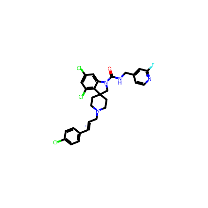 O=C(NCc1ccnc(F)c1)N1CC2(CCN(C/C=C/c3ccc(Cl)cc3)CC2)c2c(Cl)cc(Cl)cc21